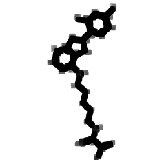 C=C(C)C(=O)OCCCCCOc1cccc2c1CC(c1ccc(C)cc1C)=C2